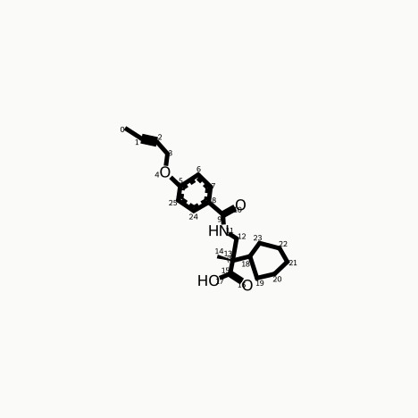 CC#CCOc1ccc(C(=O)NC[C@@](C)(C(=O)O)C2CCCCC2)cc1